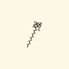 CCCCCCCCCCOC(=O)C(O)(C(F)(F)F)C(F)(F)F